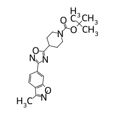 Cc1noc2cc(-c3noc(C4CCN(C(=O)OC(C)(C)C)CC4)n3)ccc12